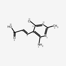 Cc1nc(N)c(C=CC(=O)O)c(Cl)n1